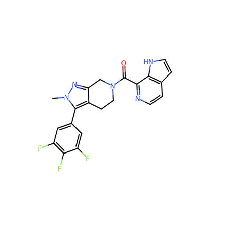 Cn1nc2c(c1-c1cc(F)c(F)c(F)c1)CCN(C(=O)c1nccc3cc[nH]c13)C2